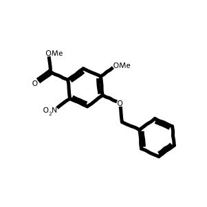 COC(=O)c1cc(OC)c(OCc2ccccc2)cc1[N+](=O)[O-]